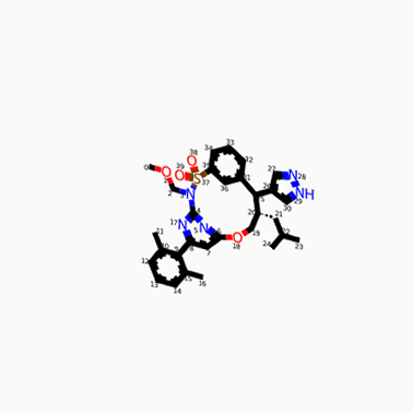 COCN1c2nc(cc(-c3c(C)cccc3C)n2)OC[C@@H](CC(C)C)C(c2cn[nH]c2)c2cccc(c2)S1(=O)=O